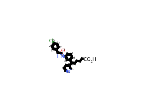 O=C(O)CCCC=C(c1cccnc1)c1cccc(NC(=O)Cc2ccc(Cl)cc2)c1